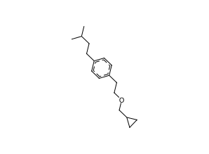 CC(C)CCc1ccc(CCOCC2CC2)cc1